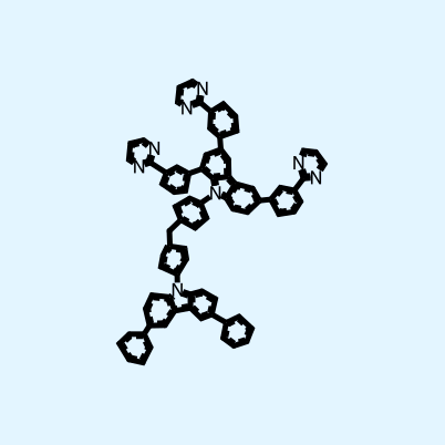 c1ccc(-c2ccc3c(c2)c2cc(-c4ccccc4)ccc2n3-c2ccc(Cc3ccc(-n4c5ccc(-c6cccc(-c7ncccn7)c6)cc5c5cc(-c6cccc(-c7ncccn7)c6)cc(-c6cccc(-c7ncccn7)c6)c54)cc3)cc2)cc1